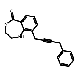 O=C1NCCNc2c(CC#CCc3ccccc3)cccc21